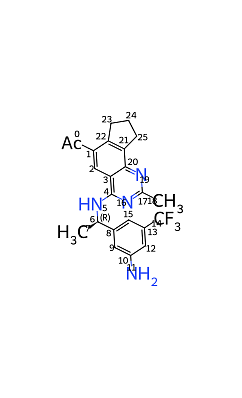 CC(=O)c1cc2c(N[C@H](C)c3cc(N)cc(C(F)(F)F)c3)nc(C)nc2c2c1CCC2